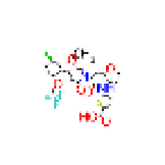 COc1cn(C(C[C@@H]2CCCCO2)C(=O)Nc2ccc(C(=O)O)s2)c(=O)cc1-c1cc(Cl)ccc1OCC(F)(F)F